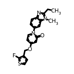 CCc1nc2ccc(-n3ccc(OCc4ccsc4F)cc3=O)cc2n1C